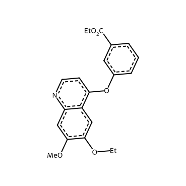 CCOC(=O)c1cccc(Oc2ccnc3cc(OC)c(OCC)cc23)c1